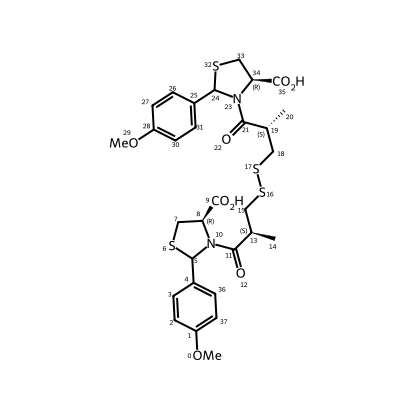 COc1ccc(C2SC[C@@H](C(=O)O)N2C(=O)[C@H](C)CSSC[C@@H](C)C(=O)N2C(c3ccc(OC)cc3)SC[C@H]2C(=O)O)cc1